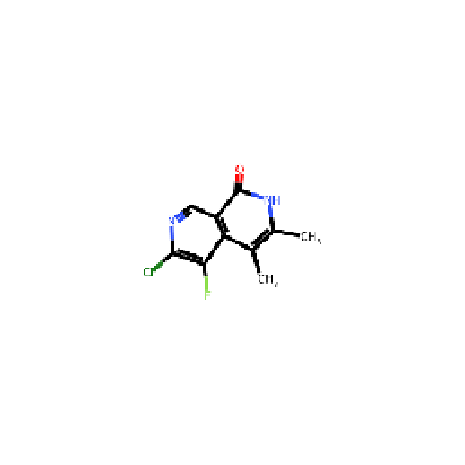 Cc1[nH]c(=O)c2cnc(Cl)c(F)c2c1C